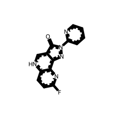 O=c1c2c[nH]c3ccc(F)nc3c-2nn1-c1ccccn1